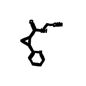 COCNC(=O)C1CC1c1ccccn1